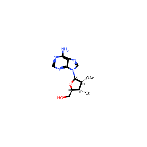 CC[C@H]1[C@@H](OC(C)=O)[C@H](n2cnc3c(N)ncnc32)O[C@@H]1CO